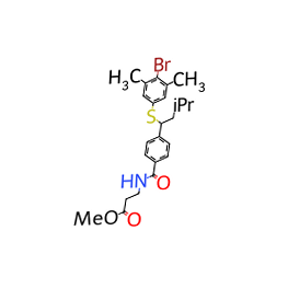 COC(=O)CCNC(=O)c1ccc(C(CC(C)C)Sc2cc(C)c(Br)c(C)c2)cc1